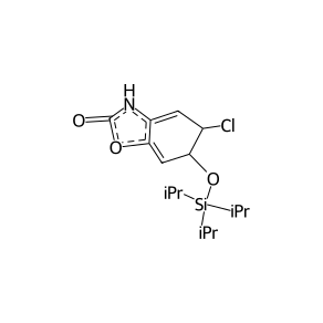 CC(C)[Si](OC1C=c2oc(=O)[nH]c2=CC1Cl)(C(C)C)C(C)C